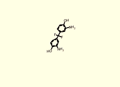 Nc1cc(C(F)(F)c2ccc(O)c(N)c2)ccc1O